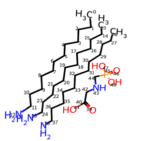 CCCCCCCCCCCCN.CCCCCCCCCCCCN.CCCCCCCCCCCCN.O=C(O)CNCP(=O)(O)O